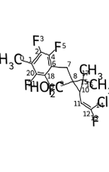 Cc1c(F)c(F)c(CC2(C(=O)O)C(C=C(F)Cl)C2(C)C)c(F)c1F